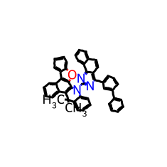 CC1(C)c2ccccc2N(c2nc(-c3cccc(-c4ccccc4)c3)c3ccc4ccccc4c3n2)c2c1c1ccccc1c1c2oc2ccccc21